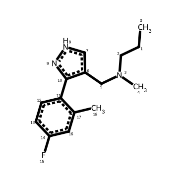 CCCN(C)Cc1c[nH]nc1-c1ccc(F)cc1C